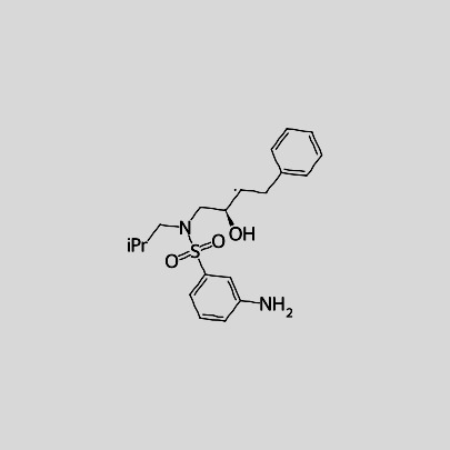 CC(C)CN(C[C@H](O)[CH]Cc1ccccc1)S(=O)(=O)c1cccc(N)c1